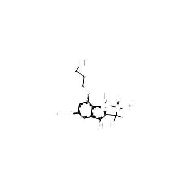 CCOP(=O)(OCC)C(F)(F)c1sc2c(OCCCC(F)(F)F)cc(C(=O)O)cc2c1Br